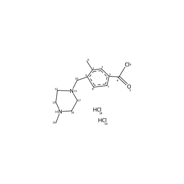 Cc1cc(C(=O)Cl)ccc1CN1CCN(C)CC1.Cl.Cl